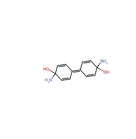 NC1(O)C=CC(=C2C=CC(N)(O)C=C2)C=C1